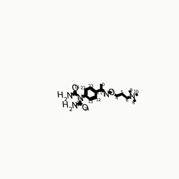 C/C(=N\OCCC[N+](C)(C)C)c1ccc(N(C(N)=O)C(N)=O)cc1